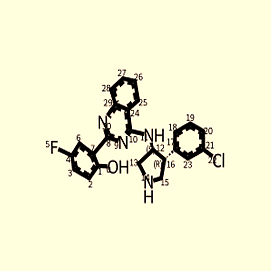 Oc1ccc(F)cc1-c1nc(N[C@@H]2CNC[C@H]2c2cccc(Cl)c2)c2ccccc2n1